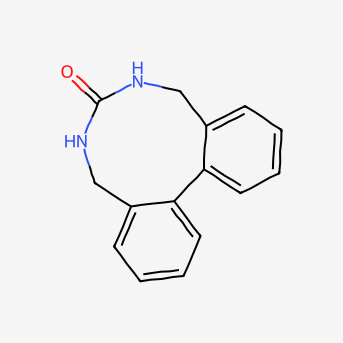 O=C1NCc2ccccc2-c2ccccc2CN1